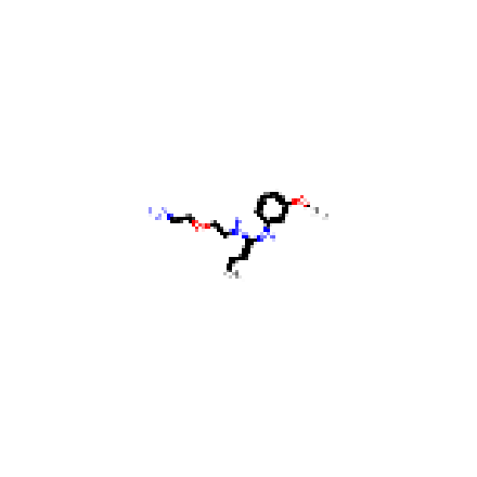 CC/C=C(\NCCOCCN)Nc1cccc(OC)c1